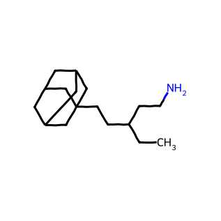 CCC(CCN)CCC12CC3CC(CC(C3)C1)C2